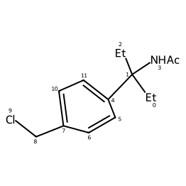 CCC(CC)(NC(C)=O)c1ccc(CCl)cc1